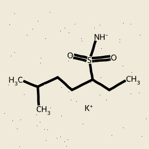 CCC(CCC(C)C)S([NH-])(=O)=O.[K+]